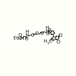 CCNC(=O)CCC(=O)NCCOCCOCCOCCNS(=O)(=O)c1cccc(C2CN(C)Cc3c(Cl)cc(Cl)cc32)c1